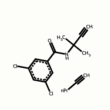 C#CC(C)(C)NC(=O)c1cc(Cl)cc(Cl)c1.C#CCCC